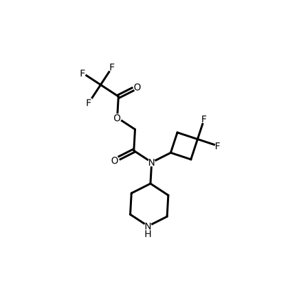 O=C(COC(=O)C(F)(F)F)N(C1CCNCC1)C1CC(F)(F)C1